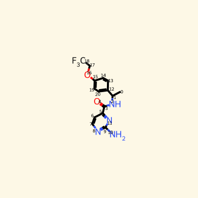 CC(NC(=O)c1ccnc(N)n1)c1ccc(OCC(F)(F)F)cc1